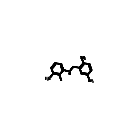 Cc1c(N)cccc1NCc1cc(N)ccc1N